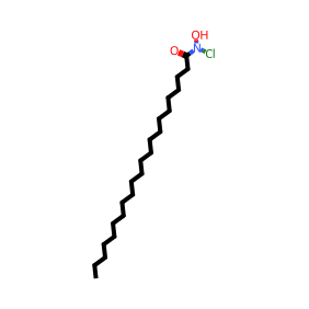 CCCCCCCCCCCCCCCCCCCCCC(=O)N(O)Cl